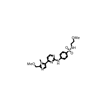 COCCNS(=O)(=O)c1ccc(Nc2nccc(-c3cnc(COC)n3C)n2)cc1